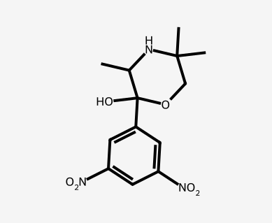 CC1NC(C)(C)COC1(O)c1cc([N+](=O)[O-])cc([N+](=O)[O-])c1